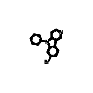 Brc1ccc2c3cnccc3n(-c3ccccc3)c2c1